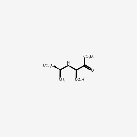 CCOC(=O)C(=O)C(N[C@@H](C)C(=O)OCC)C(=O)O